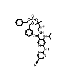 CC(C)Nc1cc(Nc2ncc(C#N)cn2)ncc1C(=O)NC[C@@H](F)C(C)(C)OP(=O)(OCc1ccccc1)OCc1ccccc1